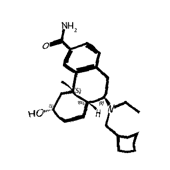 CCN(CC1CCC1)[C@@H]1Cc2ccc(C(N)=O)cc2[C@@]2(C)C[C@@H](O)CC[C@@H]12